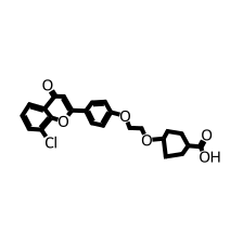 O=C(O)C1CCC(OCCOc2ccc(-c3cc(=O)c4cccc(Cl)c4o3)cc2)CC1